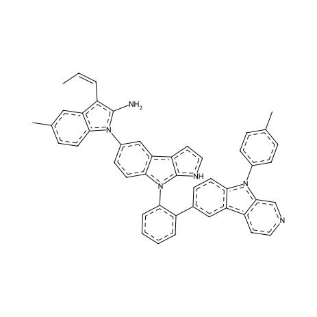 C/C=C\c1c(N)n(-c2ccc3c(c2)c2cc[nH]c2n3-c2ccccc2-c2ccc3c(c2)c2ccncc2n3-c2ccc(C)cc2)c2ccc(C)cc12